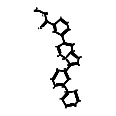 CCCCNC(=O)c1cccc(-c2cnn3c(-c4ccnc(-c5ccccc5)c4)cnc3c2)c1